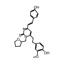 COc1cc(CCc2cc(C=Cc3ccc(O)cc3)nc(=S)n2CC2CCCO2)ccc1O